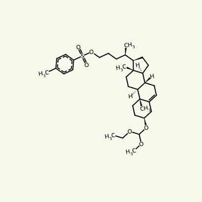 CCOC(OC)O[C@H]1CC[C@@]2(C)C(=CC[C@H]3[C@@H]4CC[C@H]([C@H](C)CCCOS(=O)(=O)c5ccc(C)cc5)[C@@]4(C)CC[C@@H]32)C1